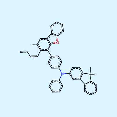 C=C/C=C\c1c(C)cc2c(oc3ccccc32)c1-c1ccc(N(c2ccccc2)c2ccc3c(c2)-c2ccccc2C3(C)C)cc1